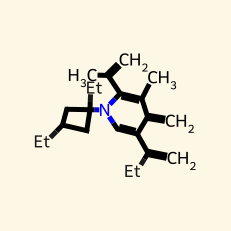 C=C(C)C1=C(C)C(=C)C(C(=C)CC)=CN1C1(CC)CC(CC)C1